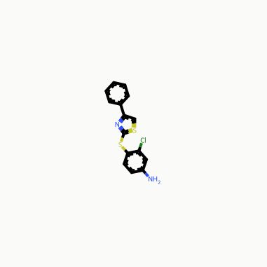 Nc1ccc(Sc2nc(-c3ccccc3)cs2)c(Cl)c1